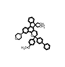 CCC1(CC)c2ccccc2-c2c1c1c(c3cc(N4CCOCC4)ccc23)OC(c2ccc(OC)cc2)(c2ccc(-c3ccccc3)cc2)C=C1